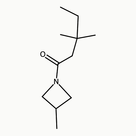 CCC(C)(C)CC(=O)N1CC(C)C1